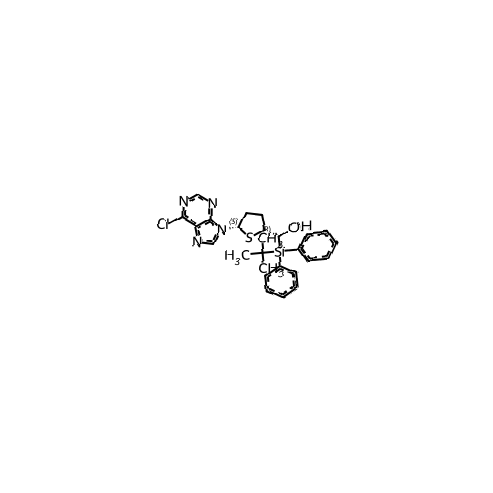 CC(C)(C)[Si](c1ccccc1)(c1ccccc1)C(O)[C@H]1CC[C@@H](n2cnc3c(Cl)ncnc32)S1